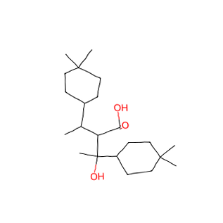 CC(C1CCC(C)(C)CC1)C(C(=O)O)C(C)(O)C1CCC(C)(C)CC1